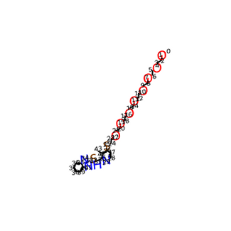 COCCOCCOCCOCCOCCOCCOCCOCCSc1ccnc(CSc2nc3ccccc3[nH]2)c1C